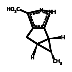 C[C@@H]1[C@@H]2Cc3c(C(=O)O)n[nH]c3[C@H]12